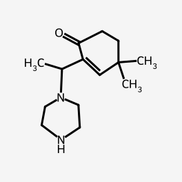 CC(C1=CC(C)(C)CCC1=O)N1CCNCC1